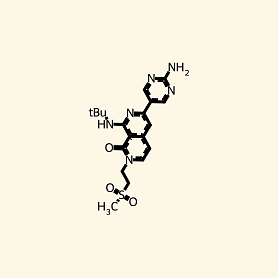 CC(C)(C)Nc1nc(-c2cnc(N)nc2)cc2ccn(CCS(C)(=O)=O)c(=O)c12